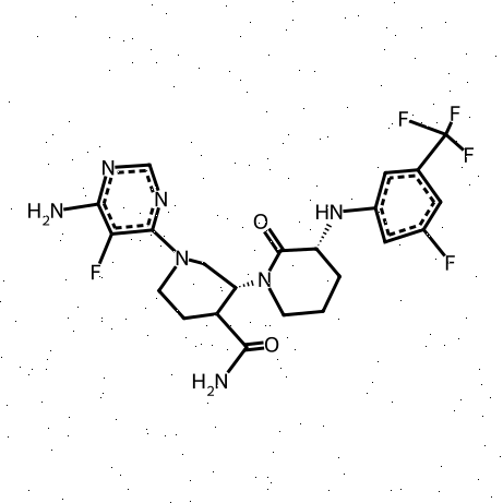 NC(=O)C1CCN(c2ncnc(N)c2F)C[C@@H]1N1CCC[C@@H](Nc2cc(F)cc(C(F)(F)F)c2)C1=O